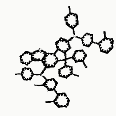 Cc1ccc(N(c2ccc(-c3ccccc3C)cc2)c2ccc3c(c2)C(c2cccc(C)c2)(c2cccc(C)c2)c2cc(N(c4ccc(C)cc4)c4ccc(-c5ccccc5C)cc4C)c4c(oc5ccccc54)c2-3)cc1